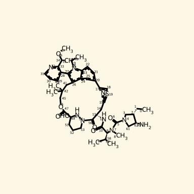 CC[C@H]1CN(C(=O)N(C)[C@H](C(=O)N[C@H]2Cc3nc(cs3)-c3ccc4c(c3)c(c(-c3cccnc3[C@H](C)OC)n4CC)CC(C)(C)COC(=O)[C@@]3(O)CCCN(N3)C2=O)C(C)C)C[C@@H]1N